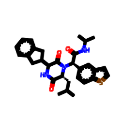 CC(C)C[C@@H]1C(=O)NC(C2Cc3ccccc3C2)C(=O)N1[C@@H](C(=O)NC(C)C)c1ccc2sccc2c1